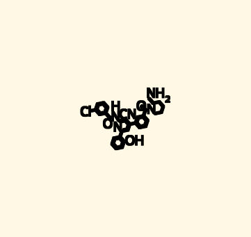 N#Cc1c(-c2cccc(C(=O)N3CCCCC3CN)c2)cc(-c2ccccc2O)nc1NC(=O)c1cccc(Cl)c1